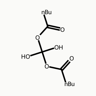 CCCCC(=O)OC(O)(O)OC(=O)CCCC